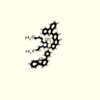 C=C/C=C\C=C/C(C)C/C(=C\C=C/C=C)N(c1ccc(-c2cccc3c2oc2ccccc23)cc1)c1ccc2ccc3ccc(-c4nc5ccccc5c5ccccc45)cc3c2c1